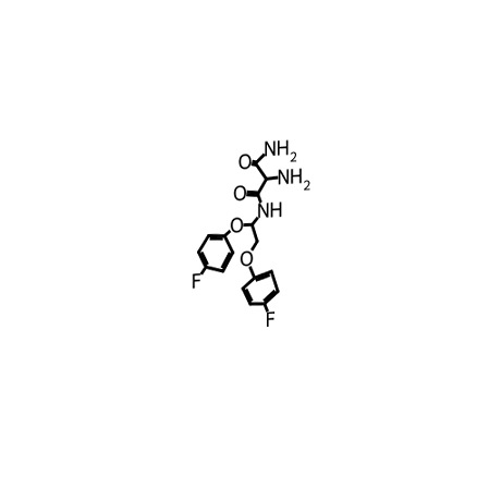 NC(=O)C(N)C(=O)NC(COc1ccc(F)cc1)Oc1ccc(F)cc1